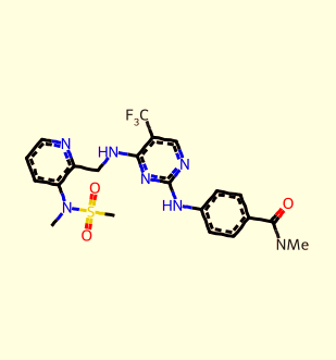 CNC(=O)c1ccc(Nc2ncc(C(F)(F)F)c(NCc3ncccc3N(C)S(C)(=O)=O)n2)cc1